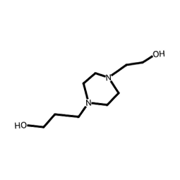 OCCCN1CCN(CCO)CC1